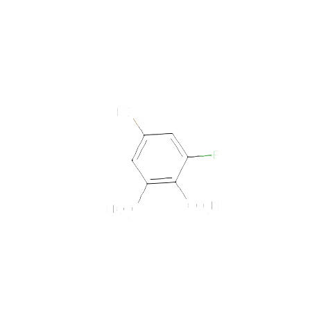 O=C(O)c1cc(S)cc(F)c1C(=O)O